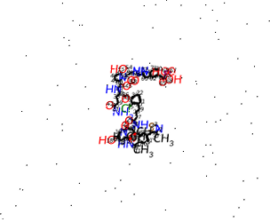 Cc1ncsc1-c1ccc([C@H](C)NC(=O)[C@@H]2C[C@@H](O)CN2C(=O)[C@@H](NC(=O)CCCc2cccc(OC[C@H](CCC(N)=O)NC(=O)[C@@H]3CCCN3C(=O)[C@H](CO)NC(=O)c3cc4cc(C(=O)P(=O)(O)O)ccc4[nH]3)c2Cl)C(C)(C)C)cc1